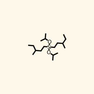 CCC(C)CC[Si](CCC(C)CC)(OC(C)C)OC(C)C